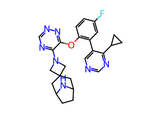 Fc1ccc(Oc2nncnc2N2CC3(CC4CCC(C3)N4)C2)c(-c2cncnc2C2CC2)c1